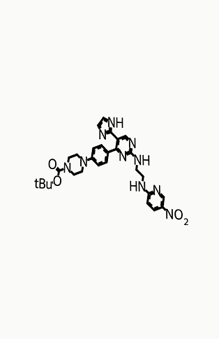 CC(C)(C)OC(=O)N1CCN(c2ccc(-c3nc(NCCNc4ccc([N+](=O)[O-])cn4)ncc3-c3ncc[nH]3)cc2)CC1